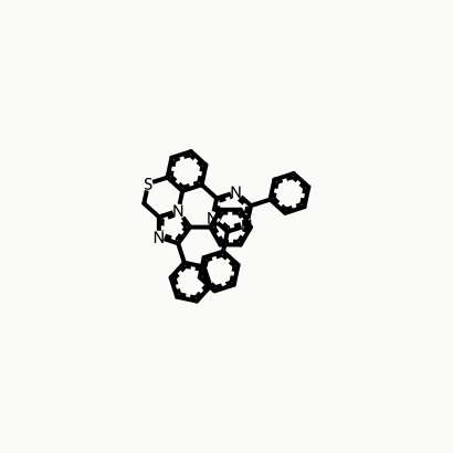 c1ccc(-c2nc(-c3ccccc3)nc(-c3cccc4c3-n3c(nc(-c5ccccc5)c3-c3ccccc3)CS4)n2)cc1